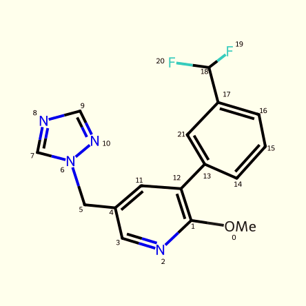 COc1ncc(Cn2cncn2)cc1-c1cccc(C(F)F)c1